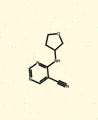 N#Cc1cncnc1NC1CCOC1